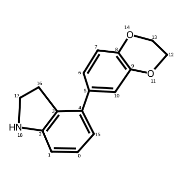 c1cc2c(c(-c3ccc4c(c3)OCCO4)c1)CCN2